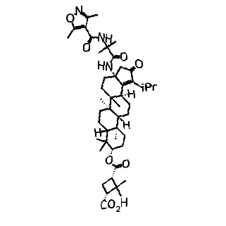 Cc1noc(C)c1C(=O)NC(C)(C)C(=O)N[C@@]12CC[C@]3(C)[C@H](CC[C@@H]4[C@@]5(C)CC[C@H](OC(=O)[C@H]6C[C@@H](C(=O)O)C6(C)C)C(C)(C)[C@@H]5CC[C@]43C)C1=C(C(C)C)C(=O)C2